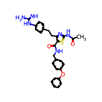 CC(=O)Nc1nc(CCc2ccc(NC(=N)N)cc2)c(C(=O)NCc2ccc(Oc3ccccc3)cc2)s1